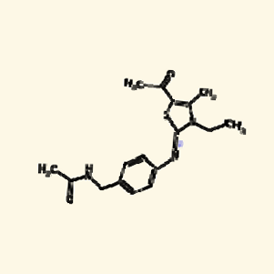 CCn1c(C)c(C(C)=O)s/c1=N\c1ccc(CNC(C)=O)cc1